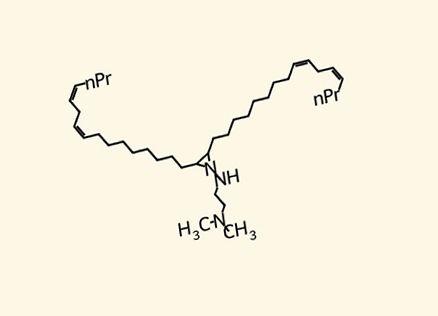 CCC/C=C\C/C=C\CCCCCCCCC1C(CCCCCCCC/C=C\C/C=C\CCC)N1NCCN(C)C